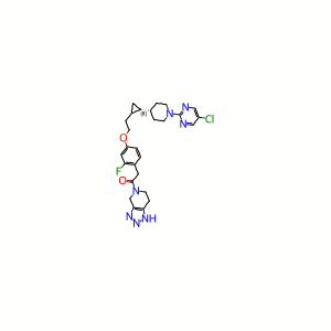 O=C(Cc1ccc(OCCC2C[C@@H]2C2CCN(c3ncc(Cl)cn3)CC2)cc1F)N1CCc2[nH]nnc2C1